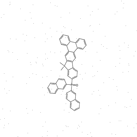 CC1(C)c2cc(P(=O)(c3ccc4ccccc4c3)c3ccc4ccccc4c3)ccc2-c2cc3c4ccccc4c4ccccc4c3cc21